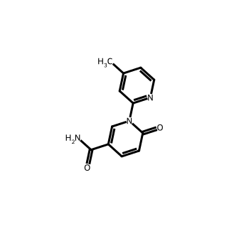 Cc1ccnc(-n2cc(C(N)=O)ccc2=O)c1